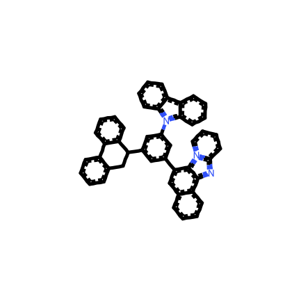 c1ccc2c(c1)CC(c1cc(-c3cc4ccccc4c4nc5ccccn5c34)cc(-n3c4ccccc4c4ccccc43)c1)c1ccccc1-2